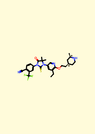 CCc1cc(N2C(=S)N(c3ccc(C#N)c(C(F)(F)F)c3)C(=O)C2(C)C)cnc1OCC[C@@H]1CCN[C@H](C)C1